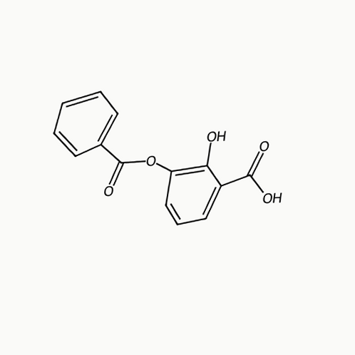 O=C(Oc1cccc(C(=O)O)c1O)c1ccccc1